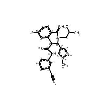 CC(C)CN1C(=O)c2ccc(F)cc2C(C(=O)Nc2cccc(C#N)c2)C1c1cnn(C)c1